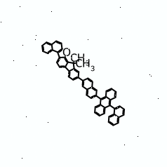 CC1(C)c2cc(-c3ccc4cc(-c5c6ccccc6c(-c6cccc7ccccc67)c6ccccc56)ccc4c3)ccc2-c2ccc3c(oc4ccc5ccccc5c43)c21